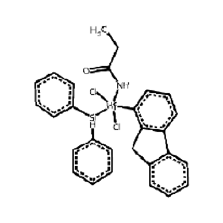 CCC(=O)[NH][Hf]([Cl])([Cl])([c]1cccc2c1Cc1ccccc1-2)[SiH](c1ccccc1)c1ccccc1